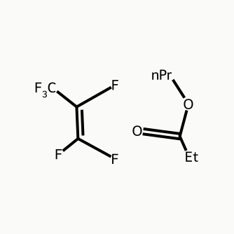 CCCOC(=O)CC.FC(F)=C(F)C(F)(F)F